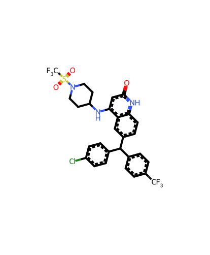 O=c1cc(NC2CCN(S(=O)(=O)C(F)(F)F)CC2)c2cc(C(c3ccc(Cl)cc3)c3ccc(C(F)(F)F)cc3)ccc2[nH]1